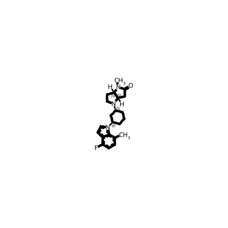 Cc1ccc(F)c2ccn([C@@H]3CCC[C@H](N4CC[C@H]5[C@@H]4CC(=O)N5C)C3)c12